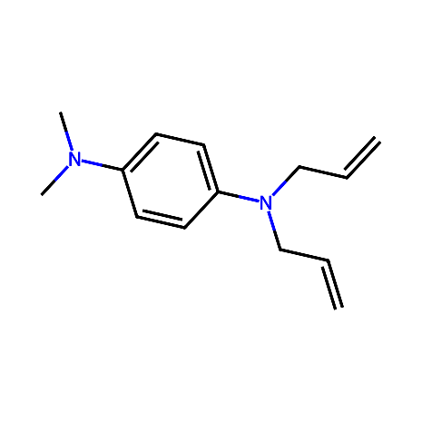 C=CCN(CC=C)c1ccc(N(C)C)cc1